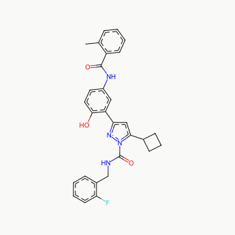 Cc1ccccc1C(=O)Nc1ccc(O)c(-c2cc(C3CCC3)n(C(=O)NCc3ccccc3F)n2)c1